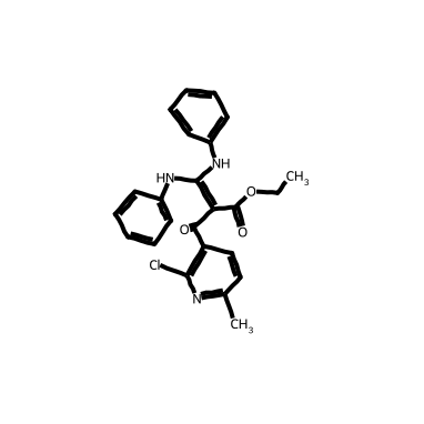 CCOC(=O)C(C(=O)c1ccc(C)nc1Cl)=C(Nc1ccccc1)Nc1ccccc1